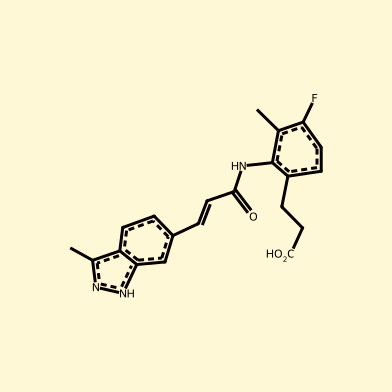 Cc1c(F)ccc(CCC(=O)O)c1NC(=O)/C=C/c1ccc2c(C)n[nH]c2c1